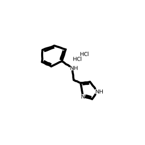 Cl.Cl.c1ccc(NCc2c[nH]cn2)cc1